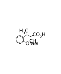 COc1ccccc1[C@H](C)[C@H](C)C(=O)O